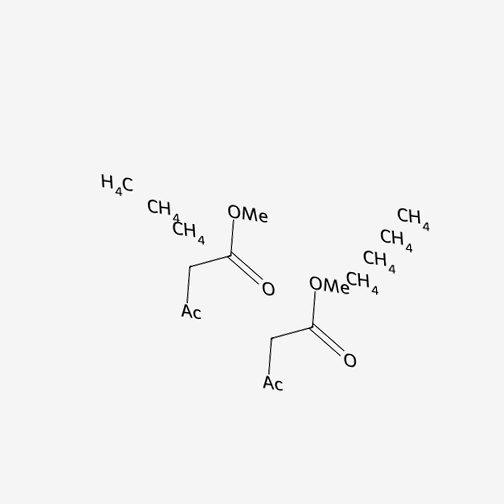 C.C.C.C.C.C.C.COC(=O)CC(C)=O.COC(=O)CC(C)=O